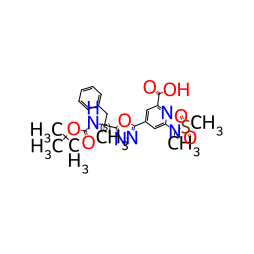 CN(c1cc(-c2nnc([C@](C)(Cc3ccccc3)NC(=O)OC(C)(C)C)o2)cc(C(=O)O)n1)S(C)(=O)=O